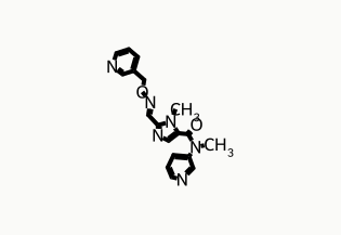 CN(C(=O)c1cnc(/C=N/OCc2cccnc2)n1C)c1cccnc1